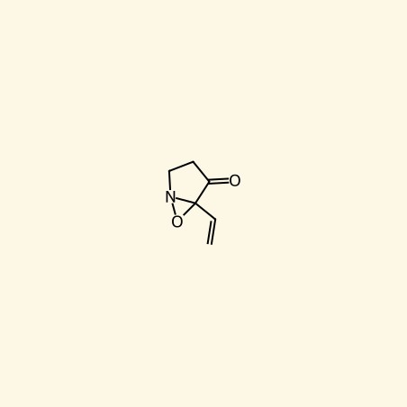 C=CC12ON1CCC2=O